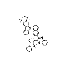 CC1(C)CCC(C)(C)c2cc3c(cc21)c1ccccc1n3-c1cccc2cc(-c3nc4ccccc4nc3C3=C4C(=CCC3)c3ccccc3C4(C)C)ccc12